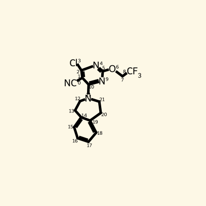 N#Cc1c(Cl)nc(OCC(F)(F)F)nc1N1CCc2ccccc2CC1